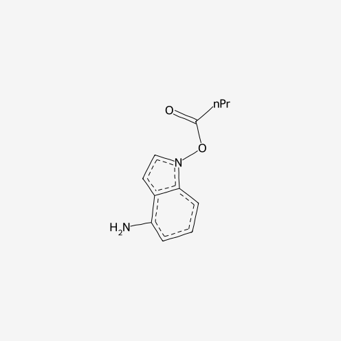 CCCC(=O)On1ccc2c(N)cccc21